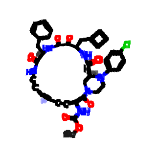 CC(C)(C)OC(=O)NC1CC/C=C\CCNC(=O)[C@@H](Cc2ccccc2)NC(=O)C(=O)C(CC2CCC2)NC(=O)[C@@H]2CN(CCN2c2ccc(Cl)cc2)C1=O